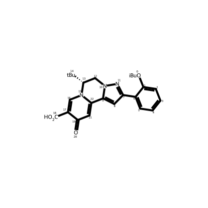 CC(C)COc1ccccc1-c1cc2n(n1)C[C@@H](C(C)(C)C)n1cc(C(=O)O)c(=O)cc1-2